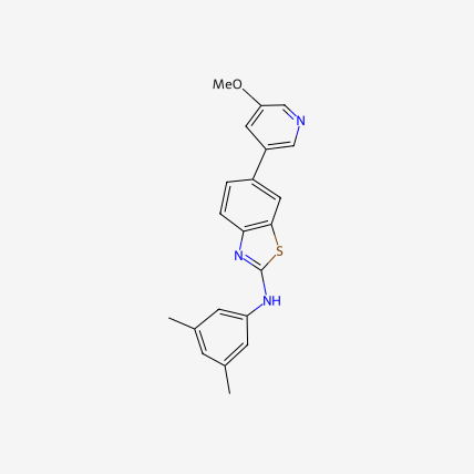 COc1cncc(-c2ccc3nc(Nc4cc(C)cc(C)c4)sc3c2)c1